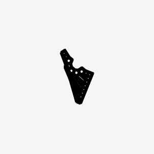 C1C2C3CC4C5C6C7CC8C9CC%10C%11C%12C%13C%14C%15C%16C%17C1C21C3C42C3C54C5C6%18C6C7%19C8C9%10C%11%19C%126C%13%18C%145C%154C%163C%1712